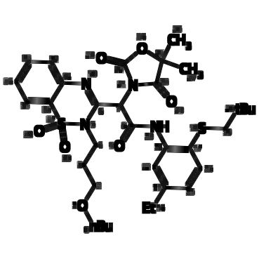 CCCCOCCCN1C(C(C(=O)Nc2cc(CC)ccc2SCC(C)(C)C)N2C(=O)OC(C)(C)C2=O)=Nc2ccccc2S1(=O)=O